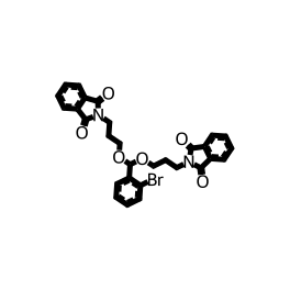 O=C1c2ccccc2C(=O)N1CCCOC(OCCCN1C(=O)c2ccccc2C1=O)c1ccccc1Br